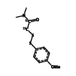 COc1ccc(SS[13CH2][13C](=O)N(C)C)cc1